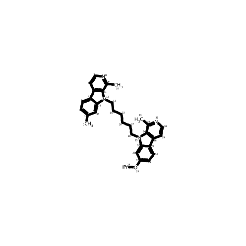 Cc1ccc2c3ccnc(C)c3n(CCCCCCn3c4cc(OC(C)C)ccc4c4ccnc(C)c43)c2c1